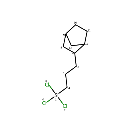 Cl[Si](Cl)(Cl)CCCC1CC2CCC1C2